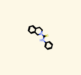 S=C(Nc1ccccc1)N1CCc2ccccc2C1